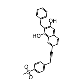 CS(=O)(=O)c1ccc(CC#Cc2ccc3cc(O)c(Cc4ccccc4)c(O)c3c2)cc1